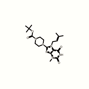 CC(C)=CCn1c(N2CCN(C(=O)OC(C)(C)C)CC2)nc2c1c(=O)[nH]c(=O)n2C